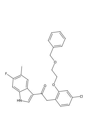 Cc1cc2c(C(=O)Cc3ccc(Cl)cc3OCCOCc3ccccc3)c[nH]c2cc1F